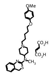 COc1ccc(OCCCCCN2CCC(N(C)C3=Nc4ccccc4CS3)CC2)cc1.O=C(O)C=CC(=O)O